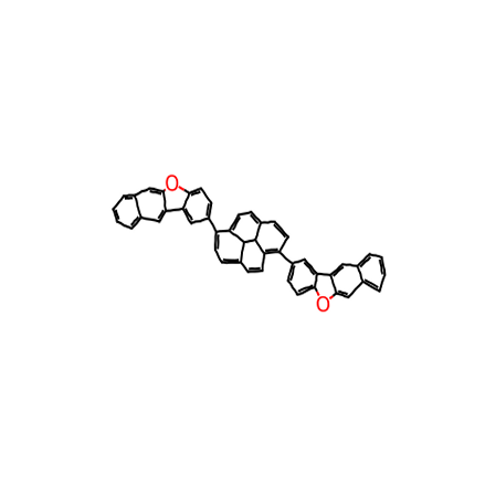 C1=CC2=C(c3ccc4oc5cc6ccccc6cc5c4c3)C=CC3=CC=C4C(c5ccc6oc7cc8ccccc8cc7c6c5)=CC=C1C4C32